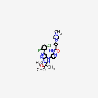 CC(CN(C)c1nnc(-c2cc(Cl)ccc2F)cc1Nc1ccnc(NC(=O)C2CC(N3CCN(C)CC3)C2)c1)C(=O)C=O